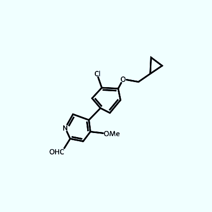 COc1cc(C=O)ncc1-c1ccc(OCC2CC2)c(Cl)c1